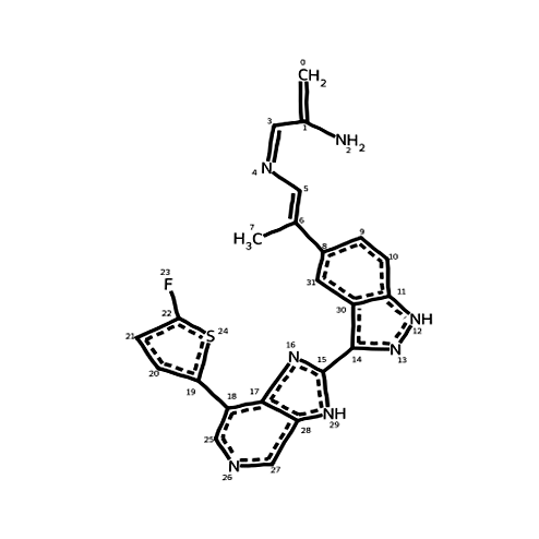 C=C(N)/C=N\C=C(/C)c1ccc2[nH]nc(-c3nc4c(-c5ccc(F)s5)cncc4[nH]3)c2c1